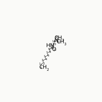 C=CCCCCCCCCC(=O)NCCN(C)C